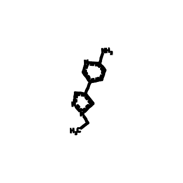 CCn1cc(-c2ccc(N)nc2)cn1